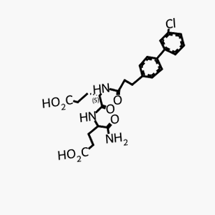 NC(=O)C(CCC(=O)O)NC(=O)[C@H](CCC(=O)O)NC(=O)CCc1ccc(-c2cccc(Cl)c2)cc1